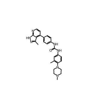 Cc1cc(NC(=O)Nc2ccc(-c3ccnc4[nH]nc(C)c34)cc2)ccc1N1CCN(C)CC1